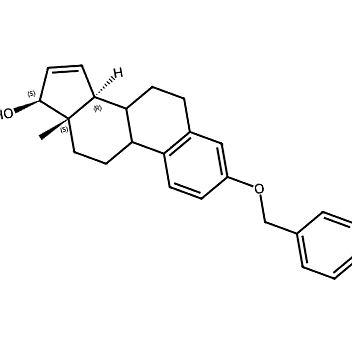 C[C@]12CCC3c4ccc(OCc5ccccc5)cc4CCC3[C@@H]1C=C[C@@H]2O